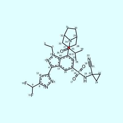 CCn1nc(-c2nnc(C(F)F)s2)c2cc(S(=O)(=O)NC3(C#N)CC3)cc(N3CC4CCC(C3)N4C(=O)C(C)C)c21